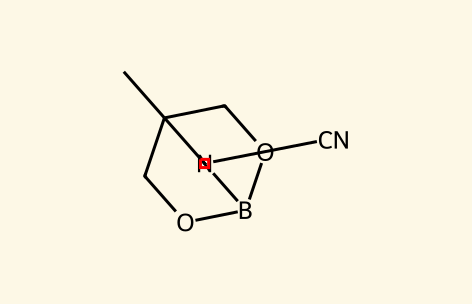 CC12COB(OC1)N(C#N)C2